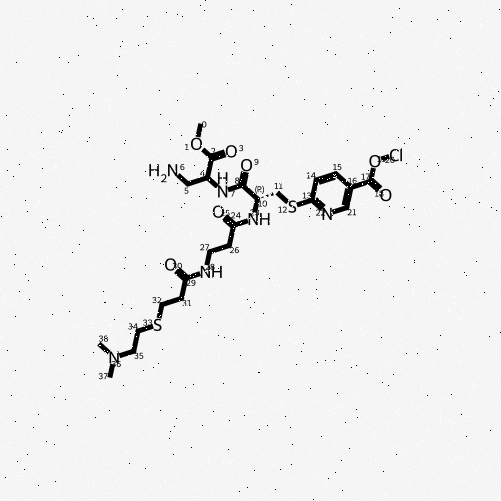 COC(=O)C(CN)NC(=O)[C@H](CSc1ccc(C(=O)OCl)cn1)NC(=O)CCNC(=O)CCSCCN(C)C